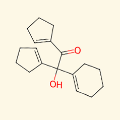 O=C(C1=CCCC1)C(O)(C1=CCCC1)C1=CCCCC1